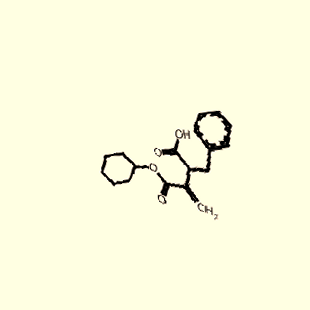 C=C(C(=O)OC1CCCCC1)C(Cc1ccccc1)C(=O)O